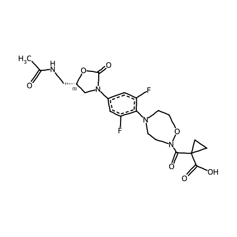 CC(=O)NC[C@H]1CN(c2cc(F)c(N3CCON(C(=O)C4(C(=O)O)CC4)CC3)c(F)c2)C(=O)O1